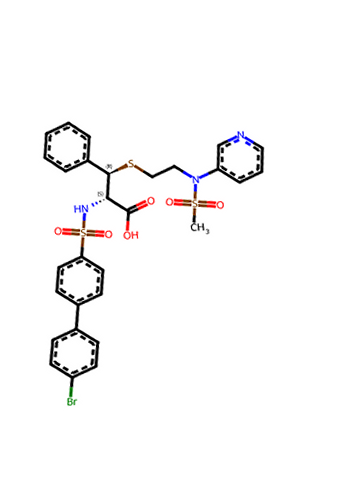 CS(=O)(=O)N(CCS[C@H](c1ccccc1)[C@@H](NS(=O)(=O)c1ccc(-c2ccc(Br)cc2)cc1)C(=O)O)c1cccnc1